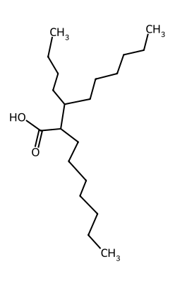 CCCCCCCC(C(=O)O)C(CCCC)CCCCCC